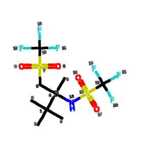 CC(C)(C)[Si](C)(CS(=O)(=O)C(F)(F)F)NS(=O)(=O)C(F)(F)F